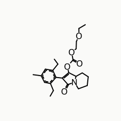 CCOCCOC(=O)OC1=C(c2c(CC)cc(C)cc2CC)C(=O)N2CCCCC12